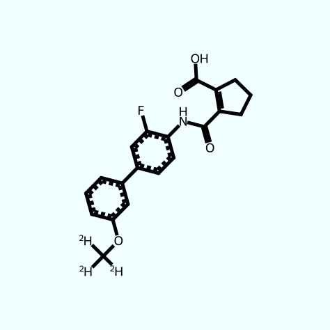 [2H]C([2H])([2H])Oc1cccc(-c2ccc(NC(=O)C3=C(C(=O)O)CCC3)c(F)c2)c1